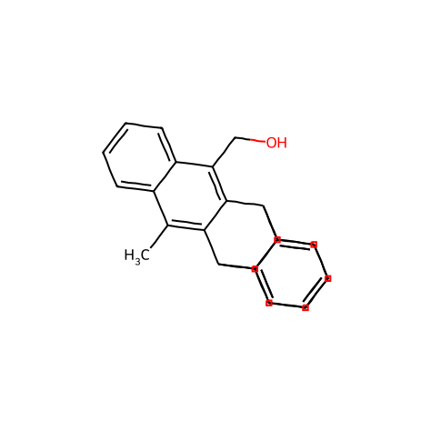 Cc1c2c(c(CO)c3ccccc13)C1c3ccccc3C2c2ccccc21